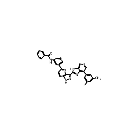 Cc1cc(F)cc(-c2cncc3[nH]c(-c4n[nH]c5ccc(-c6cncc(NC(=O)c7ccccc7)c6)nc45)nc23)c1